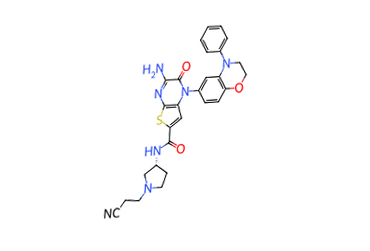 N#CCCN1CC[C@@H](NC(=O)c2cc3c(nc(N)c(=O)n3-c3ccc4c(c3)N(c3ccccc3)CCO4)s2)C1